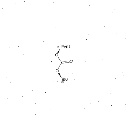 C[CH][C@H](C)OC(=O)O[C@H](C)CCC